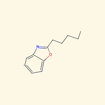 CCCCCc1nc2c[c]ccc2o1